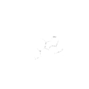 O=C(OBr)c1nc2c(C(F)(F)F)cccn2c1Cl